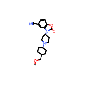 COC[C@H]1CC[C@@H](N2CCC(n3c(=O)oc4ccc(C#N)cc43)CC2)CC1